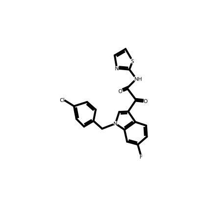 O=C(Nc1nccs1)C(=O)c1cn(Cc2ccc(Cl)cc2)c2cc(F)ccc12